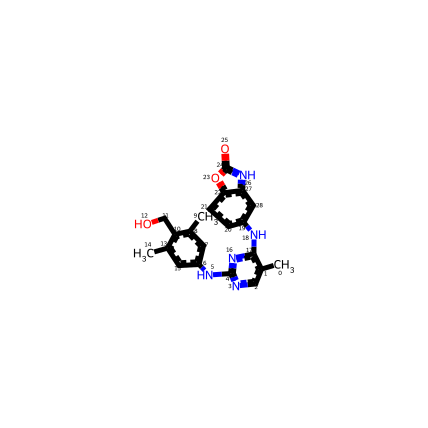 Cc1cnc(Nc2cc(C)c(CO)c(C)c2)nc1Nc1ccc2oc(=O)[nH]c2c1